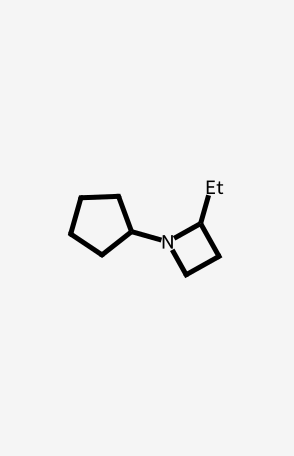 CCC1CCN1C1CCCC1